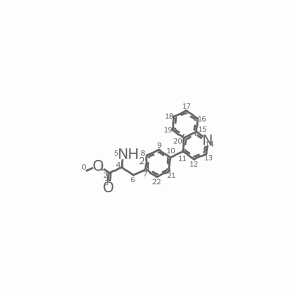 COC(=O)C(N)Cc1ccc(-c2ccnc3ccccc23)cc1